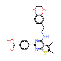 COC(=O)c1ccc(-c2nc(NCCc3ccc4c(c3)OCCO4)c3c(C)c(C)sc3n2)cc1